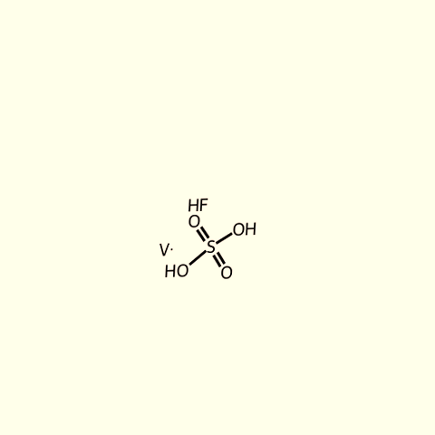 F.O=S(=O)(O)O.[V]